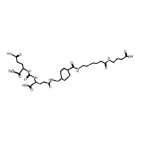 O=C(O)CCCNC(=O)CCCCCNC(=O)C1CCC(CNC(=O)CCC(NC(=O)NC(CCC(=O)O)C(=O)O)C(=O)O)CC1